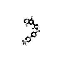 CC(C)N1CCOc2c(F)cc(-c3cnc(Nc4ccc(N5CCN(S(C)(=O)=O)CC5)cn4)n3C)cc21